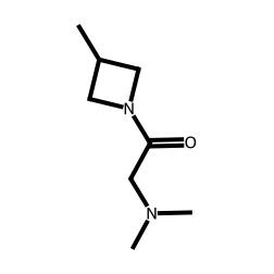 CC1CN(C(=O)CN(C)C)C1